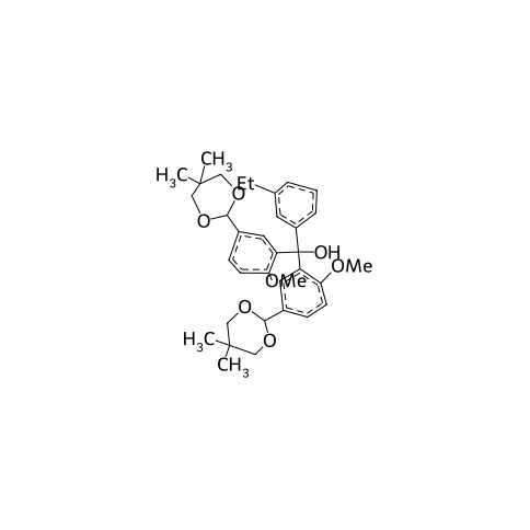 CCc1cccc(C(O)(c2cc(C3OCC(C)(C)CO3)ccc2OC)c2cc(C3OCC(C)(C)CO3)ccc2OC)c1